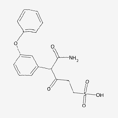 NC(=O)C(C(=O)CCS(=O)(=O)O)c1cccc(Oc2ccccc2)c1